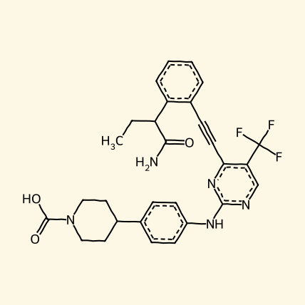 CCC(C(N)=O)c1ccccc1C#Cc1nc(Nc2ccc(C3CCN(C(=O)O)CC3)cc2)ncc1C(F)(F)F